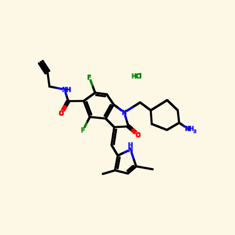 C#CCNC(=O)c1c(F)cc2c(c1F)/C(=C/c1[nH]c(C)cc1C)C(=O)N2CC1CCC(N)CC1.Cl